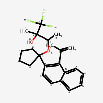 C=C(C)c1c(C2(OC(C)C(C)(O)C(F)(F)F)CCCC2)ccc2ccccc12